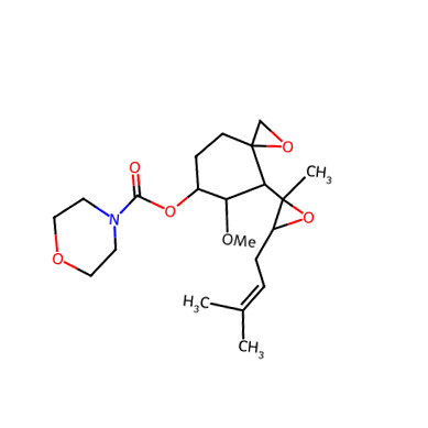 COC1C(OC(=O)N2CCOCC2)CCC2(CO2)C1C1(C)OC1CC=C(C)C